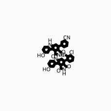 N#Cc1cccc(-c2cc3[nH]c4ccc(O)cc4c3c3c2C(=O)NC3=O)c1.O=C1NC(=O)c2c1c(-c1cccc(Cl)c1Cl)cc1[nH]c3ccc(O)cc3c21